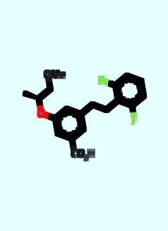 COC[C@H](C)Oc1cc(CCc2c(F)cccc2F)cc(C(=O)O)c1